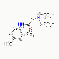 Cc1ccc(NC(=O)CN(CC(=O)O)CC(=O)O)c(C)c1